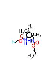 CCCCOC(=O)NCC1(C)CC(NC(=O)OCCF)CC(C)(C)C1